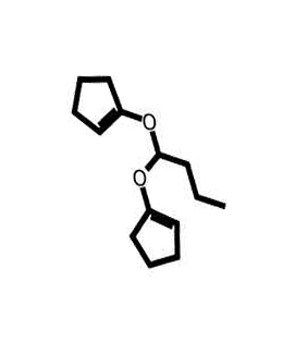 CCCC(OC1=CCCC1)OC1=CCCC1